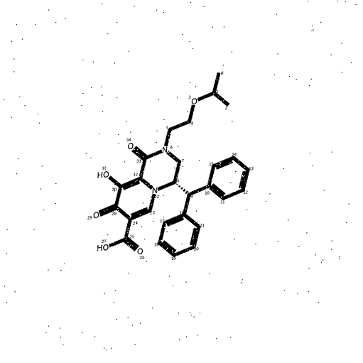 CC(C)OCCN1C[C@H](C(c2ccccc2)c2ccccc2)n2cc(C(=O)O)c(=O)c(O)c2C1=O